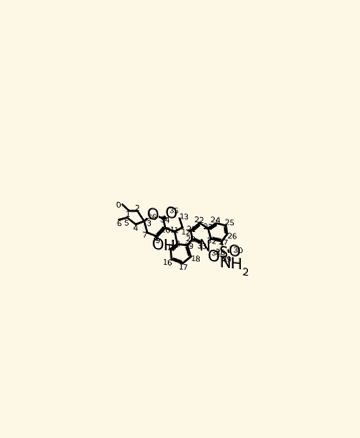 CCCC1(CCC)CC(O)=C(C(CC)c2ccccc2-c2ccc3cccc(S(N)(=O)=O)c3n2)C(=O)O1